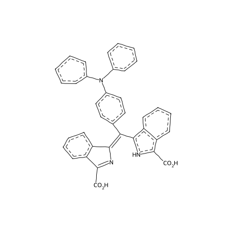 O=C(O)C1=N/C(=C(/c2ccc(N(c3ccccc3)c3ccccc3)cc2)c2[nH]c(C(=O)O)c3ccccc23)c2ccccc21